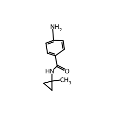 CC1(NC(=O)c2ccc(N)cc2)CC1